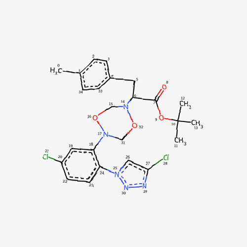 Cc1ccc(CC(C(=O)OC(C)(C)C)N2CON(c3cc(Cl)ccc3-n3cc(Cl)nn3)CO2)cc1